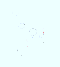 CC(=O)N1c2ccc(-c3cnn(C4CNC4)c3)cc2N(C(=O)OC2CCCCC2)C[C@@H]1C